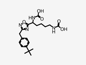 CC(C)(C)c1ccc(Cc2noc(C(CCCCNC(=O)O)NC(=O)O)n2)cc1